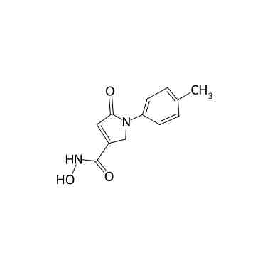 Cc1ccc(N2CC(C(=O)NO)=CC2=O)cc1